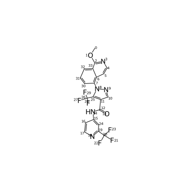 COc1nccc2c(-n3ncc(C(=O)Nc4ccnc(C(F)(F)F)c4)c3C(F)(F)F)cccc12